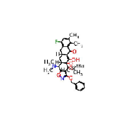 Cc1cc(F)c2c(c1C)C(=O)C1=C(O)[C@]3(O[Si](C)(C)C(C)(C)C)C(=O)C4C(OCc5ccccc5)=NOC4[C@@H](N(C)C)[C@@H]3C[C@@H]1C2